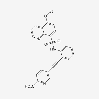 CCOc1ccc(S(=O)(=O)Nc2ccccc2C#Cc2ccc(C(=O)O)nc2)c2ncccc12